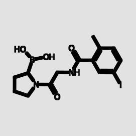 Cc1ccc(I)cc1C(=O)NCC(=O)N1CCCC1B(O)O